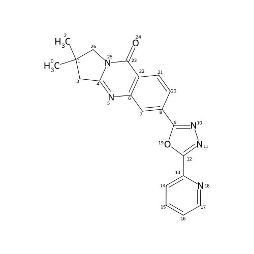 CC1(C)Cc2nc3cc(-c4nnc(-c5ccccn5)o4)ccc3c(=O)n2C1